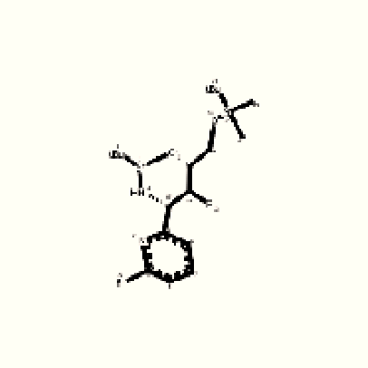 CC(C)(C)[S+]([O-])N[C@@H](c1cccc(Br)n1)C(F)CCO[Si](C)(C)C(C)(C)C